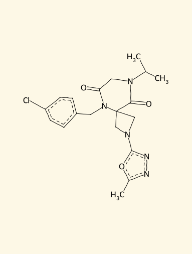 Cc1nnc(N2CC3(C2)C(=O)N(C(C)C)CC(=O)N3Cc2ccc(Cl)cc2)o1